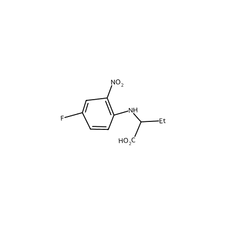 CCC(Nc1ccc(F)cc1[N+](=O)[O-])C(=O)O